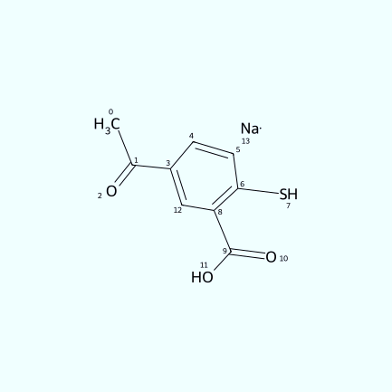 CC(=O)c1ccc(S)c(C(=O)O)c1.[Na]